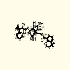 CC1(C)CCOc2c(C(=O)NC3CN4C(=N)N[C@@H](CNC(=O)C5(c6ccccn6)CC5)[C@@H]5NC(=N)N[C@@]54[C@@H]3O)cccc21